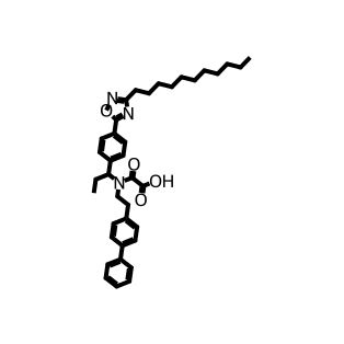 CCCCCCCCCCCc1noc(-c2ccc(C(CC)N(CCc3ccc(-c4ccccc4)cc3)C(=O)C(=O)O)cc2)n1